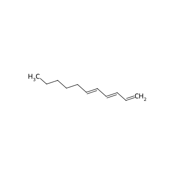 C=CC=CC=CCCCCC